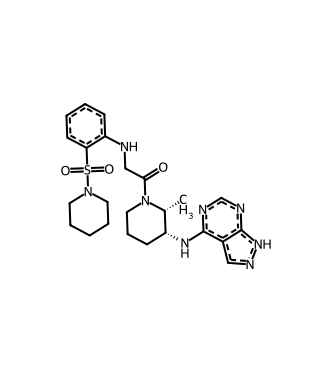 C[C@@H]1[C@H](Nc2ncnc3[nH]ncc23)CCCN1C(=O)CNc1ccccc1S(=O)(=O)N1CCCCC1